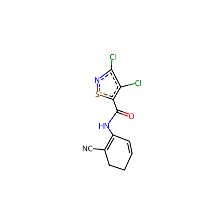 N#CC1=C(NC(=O)c2snc(Cl)c2Cl)C=CCC1